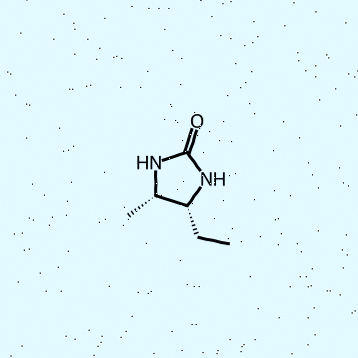 CC[C@H]1NC(=O)N[C@H]1C